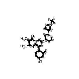 Cc1nc2c(-c3ccc(Cl)cc3F)nc([C@@H]3CCO[C@H](c4cnn(C(F)(F)F)c4)C3)cn2c(=O)c1C